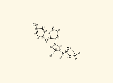 CN(C(=O)OC(C)(C)C)C1CN(c2ncnc3c2oc2ccc(Cl)cc23)CC1F